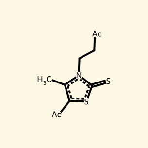 CC(=O)CCn1c(C)c(C(C)=O)sc1=S